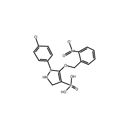 O=[N+]([O-])c1ccccc1COC1=C(P(=O)(O)O)CNN1c1ccc(Cl)cc1